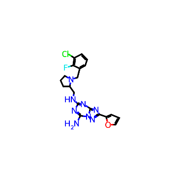 Nc1nc(NCC2CCCN2Cc2cccc(Cl)c2F)nc2nc(-c3ccco3)nn12